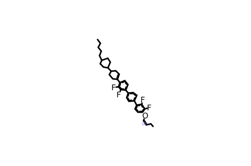 CC/C=C\Oc1ccc(-c2ccc(-c3ccc(C4=CCC(C5CCC(CCCCC)CC5)CC4)c(F)c3F)cc2)c(F)c1F